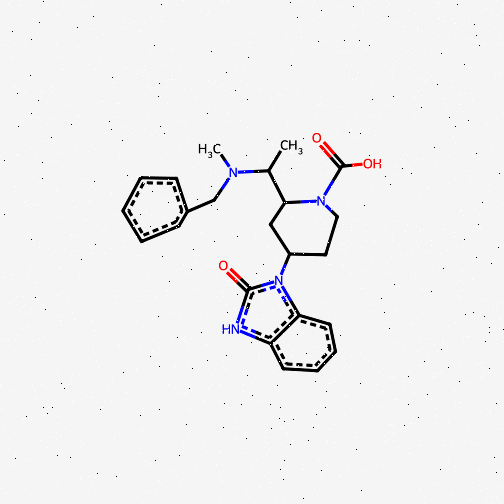 CC(C1CC(n2c(=O)[nH]c3ccccc32)CCN1C(=O)O)N(C)Cc1ccccc1